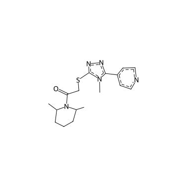 CC1CCCC(C)N1C(=O)CSc1nnc(-c2ccncc2)n1C